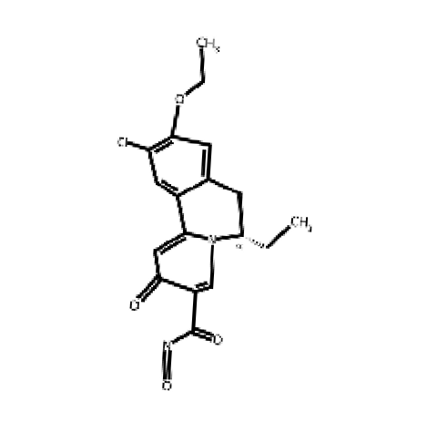 CCOc1cc2c(cc1Cl)-c1cc(=O)c(C(=O)N=O)cn1[C@@H](CC)C2